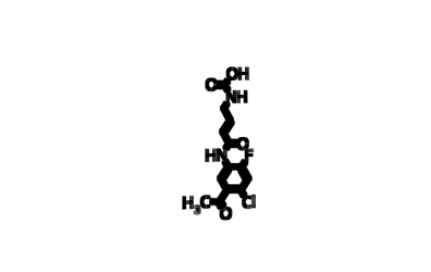 CC(=O)c1cc(NC(=O)C=CCNC(=O)O)c(F)cc1Cl